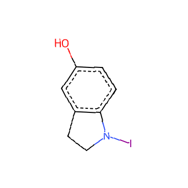 Oc1ccc2c(c1)CCN2I